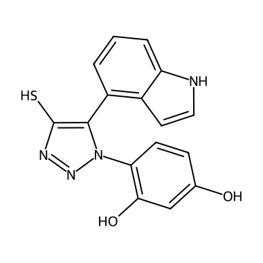 Oc1ccc(-n2nnc(S)c2-c2cccc3[nH]ccc23)c(O)c1